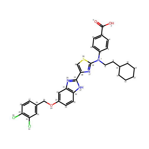 O=C(O)c1ccc(N(CCC2CCCCC2)c2nc(-c3nc4cc(OCc5ccc(Cl)c(Cl)c5)ccc4[nH]3)cs2)cc1